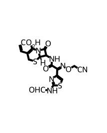 C=CC1=C(C(=O)O)N2C(=O)C(NC(=O)C(=NOCC#N)c3csc(NC=O)n3)[C@@H]2SC1